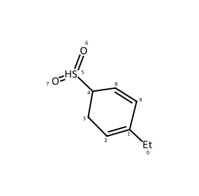 CCC1=CCC([SH](=O)=O)C=C1